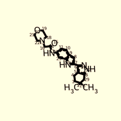 CC1(C)CCc2c(-c3cc4ccc(NC(=O)CN5CCOCC5)cc4[nH]3)n[nH]c2C1